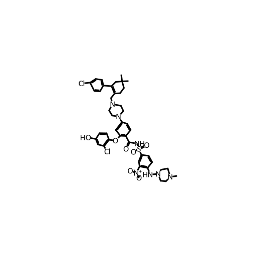 CN1CCN(Nc2ccc(S(=O)(=O)NC(=O)c3ccc(N4CCN(CC5=C(c6ccc(Cl)cc6)CC(C)(C)CC5)CC4)cc3Oc3ccc(O)cc3Cl)cc2[N+](=O)[O-])CC1